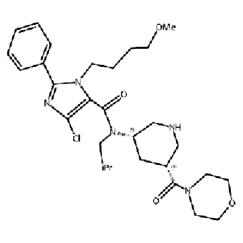 COCCCCn1c(-c2ccccc2)nc(Cl)c1C(=O)N(CC(C)C)[C@@H]1CNC[C@H](C(=O)N2CCOCC2)C1